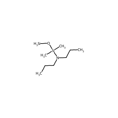 CCCN(CCC)[Si](C)(C)O[SiH3]